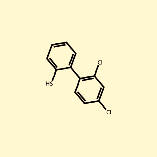 Sc1ccccc1-c1ccc(Cl)cc1Cl